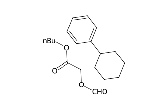 CCCCOC(=O)COC=O.c1ccc(C2CCCCC2)cc1